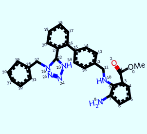 COC(=O)c1cccc(N)c1NCc1ccc(-c2ccccc2C2NN=NN2Cc2ccccc2)cc1